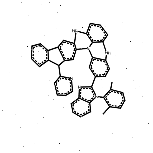 Cc1cccc(C)c1-n1c(-c2ccc3c(c2)B2c4cc5c(cc4Nc4cccc(c42)N3)-c2ccccc2C5c2ccccn2)nc2ccccc21